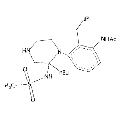 CCCCC1(NS(C)(=O)=O)CNCCN1c1cccc(NC(C)=O)c1CC(C)C